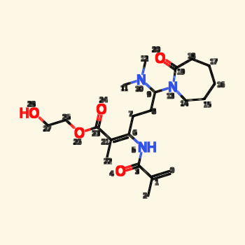 C=C(C)C(=O)NC(CCC(N(C)C)N1CCCCCC1=O)=C(C)C(=O)OCCO